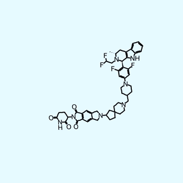 C[C@@H]1Cc2c([nH]c3ccccc23)[C@@H](c2c(F)cc(N3CCC(CN4CCC5(CCC(N6Cc7cc8c(cc7C6)C(=O)N(C6CCC(=O)NC6=O)C8=O)C5)CC4)CC3)cc2F)N1CC(F)F